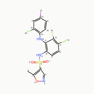 Cc1oncc1S(=O)(=O)Nc1ccc(F)c(F)c1Nc1ccc(I)cc1F